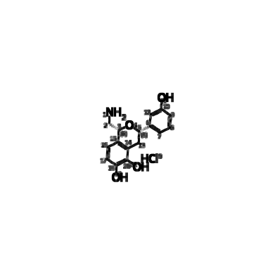 Cl.NC[C@@H]1O[C@H](c2cccc(O)c2)Cc2c1ccc(O)c2O